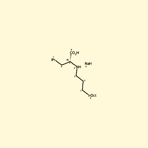 CCCCCCCCCCCN[C@H](CC(C)C)C(=O)O.[NaH]